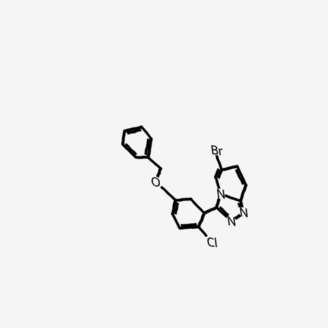 ClC1=CC=C(OCc2ccccc2)CC1c1nnc2ccc(Br)cn12